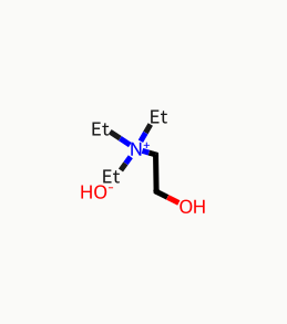 CC[N+](CC)(CC)CCO.[OH-]